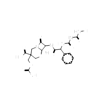 CNC(=O)NC(=O)NC(C(=O)NC1C(=O)N2CC(COC(N)=O)(C(=O)O)CS[C@H]12)c1ccccc1